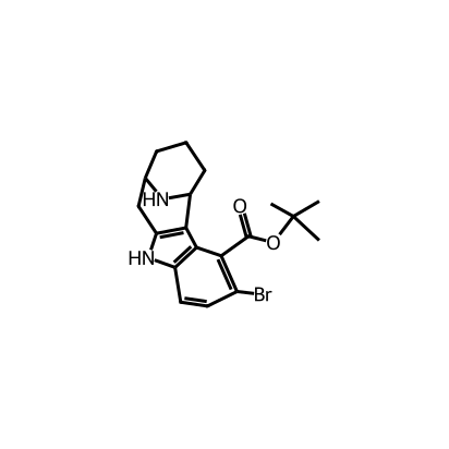 CC(C)(C)OC(=O)c1c(Br)ccc2[nH]c3c(c12)C1CCCC(C3)N1